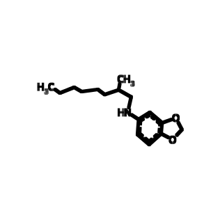 CCCCCCC(C)CNc1ccc2c(c1)OCO2